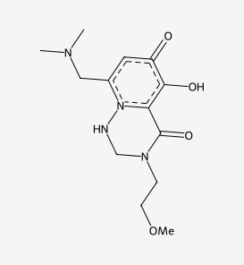 COCCN1CNn2c(CN(C)C)cc(=O)c(O)c2C1=O